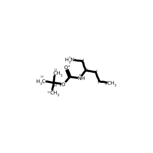 CCCC(CN)NC(=O)OC(C)(C)C